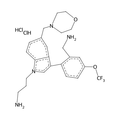 Cl.Cl.NCCCn1cc(-c2ccc(OC(F)(F)F)cc2CN)c2cc(CN3CCOCC3)ccc21